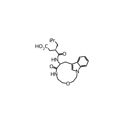 CC(C)C[C@H](CC(=O)O)C(=O)N[C@H]1Cc2cn(c3ccccc23)CCOCCNC1=O